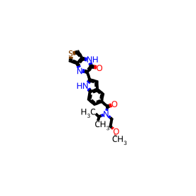 COCCN(C(=O)c1ccc2[nH]c(-c3nc4cscc4[nH]c3=O)cc2c1)C(C)C